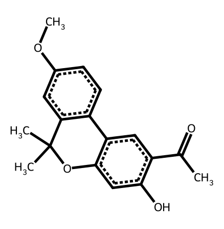 COc1ccc2c(c1)C(C)(C)Oc1cc(O)c(C(C)=O)cc1-2